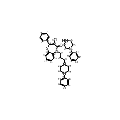 O=C1C(Cl)=C(c2ccccc2)Sc2ccccc2N1CCCN1CCN(c2ccccc2)CC1.c1ccc(N2CCNCC2)cc1